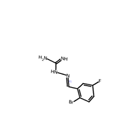 N=C(N)N/N=C/c1cc(F)ccc1Br